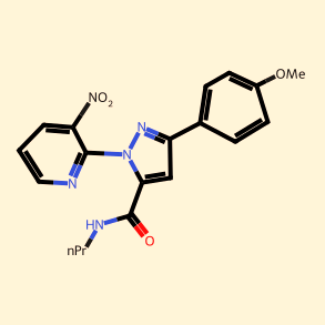 CCCNC(=O)c1cc(-c2ccc(OC)cc2)nn1-c1ncccc1[N+](=O)[O-]